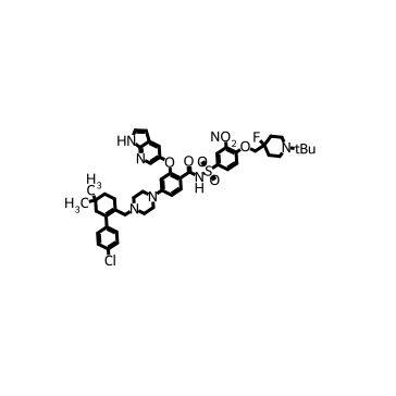 CC1(C)CCC(CN2CCN(c3ccc(C(=O)NS(=O)(=O)c4ccc(OCC5(F)CCN(C(C)(C)C)CC5)c([N+](=O)[O-])c4)c(Oc4cnc5[nH]ccc5c4)c3)CC2)=C(c2ccc(Cl)cc2)C1